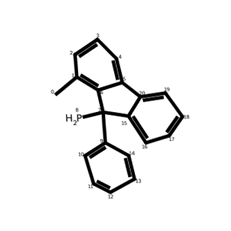 Cc1cccc2c1C(P)(c1ccccc1)c1ccccc1-2